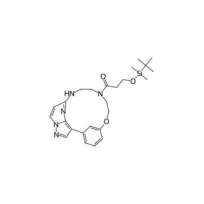 CC(C)(C)[Si](C)(C)OCCC(=O)N1CCNc2ccn3ncc(c3n2)-c2cccc(c2)OCC1